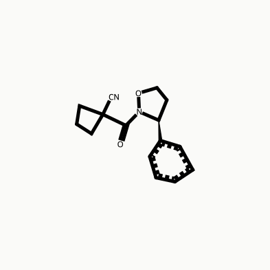 N#CC1(C(=O)N2OCC[C@H]2c2ccccc2)CCC1